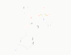 CCOC(=O)C(Cc1ccc(N)cc1)N(C(F)(F)F)S(=O)(=O)O